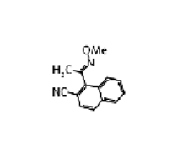 CON=C(C)c1c(C#N)ccc2ccccc12